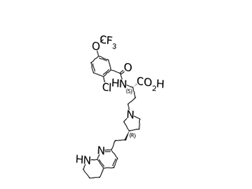 O=C(N[C@@H](CCN1CC[C@@H](CCc2ccc3c(n2)NCCC3)C1)C(=O)O)c1cc(OC(F)(F)F)ccc1Cl